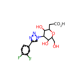 O=C(O)CC1OC(CO)C(O)C(n2cc(-c3ccc(F)c(F)c3)nn2)C1O